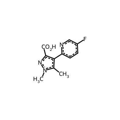 Cc1c(-c2ccc(F)cn2)c(C(=O)O)nn1C